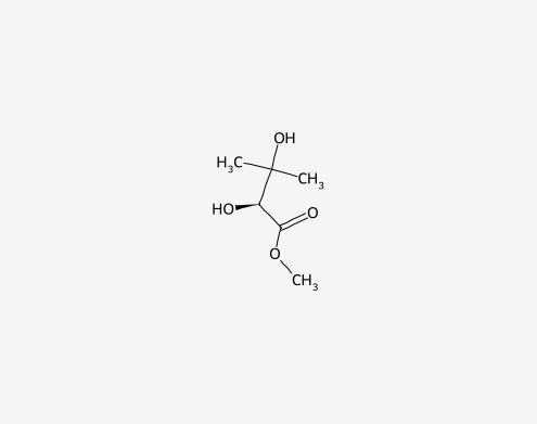 COC(=O)[C@@H](O)C(C)(C)O